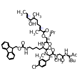 C/C=C/[C@@H](O)[C@@H](C)CC/C=C(\C)C(=O)O[C@H](CC(C)C)C(=O)NC(CCCCNC(=O)OCC1c2ccccc2-c2ccccc21)C(=O)N(C)[C@H](Cc1ccc(Cl)cc1)C(=O)N(C)CC(=O)N[C@H](C(C)=O)C(C)CC